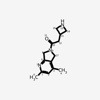 Cc1cc(C)c2c(n1)CN(C(=O)CC1CNC1)C2